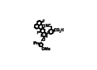 CO[C@@H]1C[C@@H](COc2nc(N3CCN(C(=O)O)C(CC#N)C3)c3cnc(-c4cccc5ccc(F)c(Cl)c45)c(F)c3n2)N(C(C)C)C1